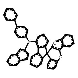 c1ccc(-c2ccc(N(c3ccc4ccccc4c3)c3cccc4c3-c3ccccc3C43c4ccccc4Oc4c3ccc3ccccc43)cc2)cc1